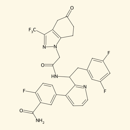 NC(=O)c1cc(-c2cccnc2C(Cc2cc(F)cc(F)c2)NC(=O)Cn2nc(C(F)(F)F)c3c2CCC(=O)C3)ccc1F